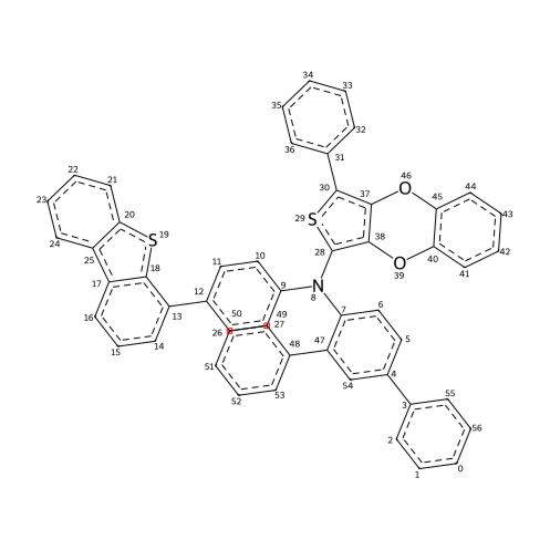 c1ccc(-c2ccc(N(c3ccc(-c4cccc5c4sc4ccccc45)cc3)c3sc(-c4ccccc4)c4c3Oc3ccccc3O4)c(-c3ccccc3)c2)cc1